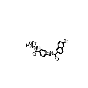 CCCNNC(=O)c1ccc(CNC(=O)c2ccc3cc(Br)ccc3c2)cc1